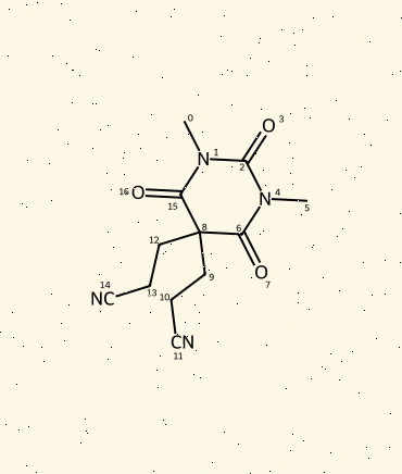 CN1C(=O)N(C)C(=O)C(CCC#N)(CCC#N)C1=O